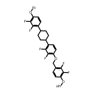 CCCOc1ccc(COc2ccc(C3CCC(c4ccc(OCC)c(F)c4F)CC3)c(F)c2F)c(F)c1F